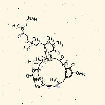 CNCCN(C)C(=O)CSC(C)(C)CCC(=O)N(C)[C@@H](C)C(=O)O[C@H]1CC(=O)N(C)c2cc(cc(OC)c2Cl)C/C(C)=C/C=C/[C@@H](OC)[C@@]2(O)C[C@H](OC(=O)N2)[C@@H](C)[C@@H]2C[C@]12C